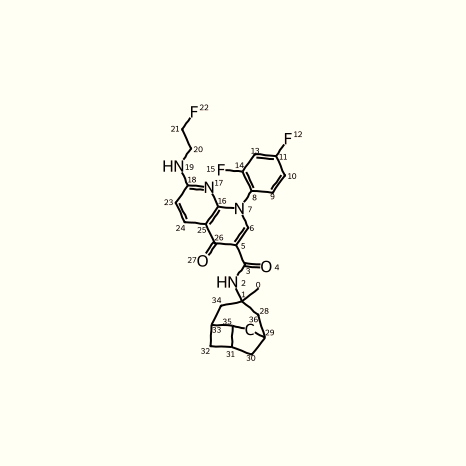 CC1(NC(=O)c2cn(-c3ccc(F)cc3F)c3nc(NCCF)ccc3c2=O)CC2CC3CC(C1)C3C2